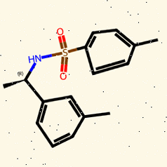 Cc1ccc(S(=O)(=O)N[C@H](C)c2cccc(C)c2)cc1